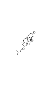 CC(C)CCO[C@H]1C[C@H]2[C@@H]3CN(C)C4=CC(=O)CC[C@]4(C)[C@H]3CC[C@]2(C)C1